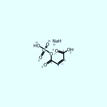 O=C(O)/C=C\C(=O)OS(=O)(=O)O.[NaH]